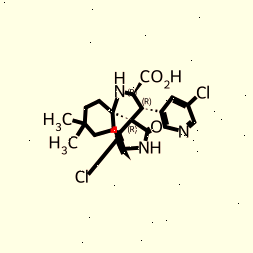 CC1(C)CCC2(CC1)N[C@@H](C(=O)O)[C@H](c1cncc(Cl)c1)[C@]21C(=O)Nc2cc(Cl)ccc21